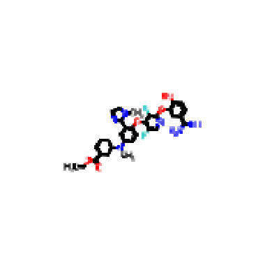 CCOC(=O)C1CCCC(N(C)c2ccc(Oc3c(F)cnc(Oc4cc(C(=N)N)ccc4O)c3F)c(C3N=CCN3C)c2)C1